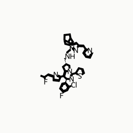 CC(F)/C=C1\C=CC(C2=C3C[C@H](CNCC[C@H]4CC5CCC(C4)[C@]5(C)C4=C/C(=C/c5ccccn5)N=N4)CN3C(C3CC=CS3)=N[C@H]2c2ccc(F)cc2Cl)=N1